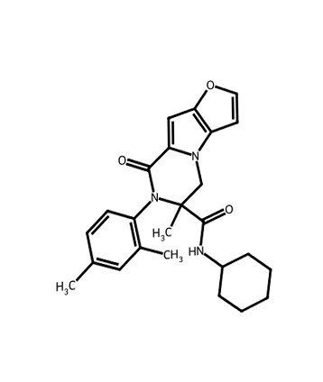 Cc1ccc(N2C(=O)c3cc4occc4n3CC2(C)C(=O)NC2CCCCC2)c(C)c1